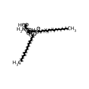 CCCCCCCCCCCCCCCCCCC(=O)OCC(COP(=O)(O)OCC(N)C(=O)O)OC(=O)CCCCCCCCCCCCCCCCCC